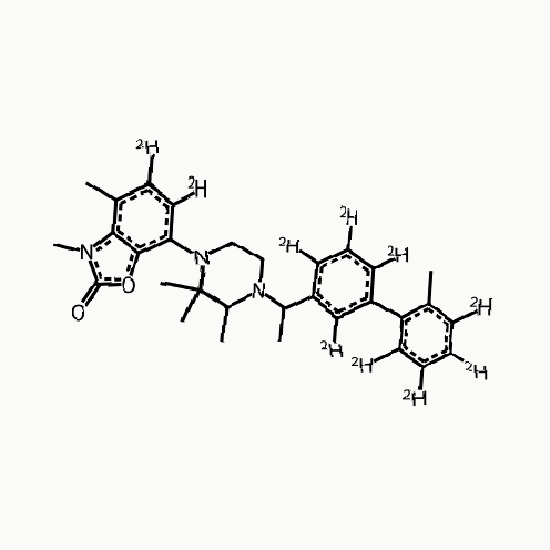 [2H]c1c([2H])c([2H])c(-c2c([2H])c([2H])c([2H])c(C(C)N3CCN(c4c([2H])c([2H])c(C)c5c4oc(=O)n5C)C(C)(C)C3C)c2[2H])c(C)c1[2H]